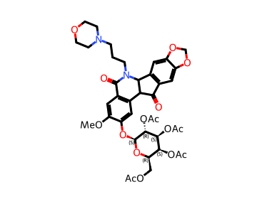 COc1cc2c(cc1O[C@@H]1O[C@H](COC(C)=O)[C@H](OC(C)=O)[C@H](OC(C)=O)[C@H]1OC(C)=O)C1C(=O)c3cc4c(cc3C1N(CCCN1CCOCC1)C2=O)OCO4